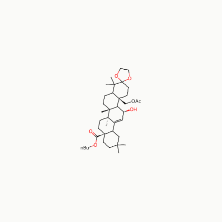 CCCCOC(=O)[C@]12CCC(C)(C)CC1C1=C[C@H](O)C3[C@@]4(COC(C)=O)CCC5(OCCO5)C(C)(C)C4CC[C@@]3(C)[C@]1(C)CC2